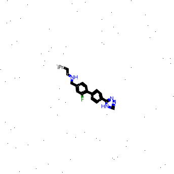 CC(C)CCNCc1ccc(-c2ccc(-c3nnc[nH]3)cc2)c(F)c1